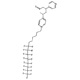 CC(CC(CP=S)c1ccncc1)c1cc[n+](CCCCCCC(F)(F)C(F)(F)C(F)(F)C(F)(F)C(F)(F)C(F)(F)C(F)(F)C(F)(F)F)cc1